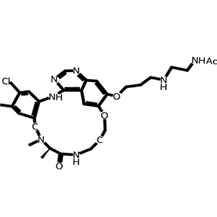 CC(=O)NCCNCCCOc1cc2ncnc3c2cc1OCCCNC(=O)[C@@H](C)N(C)Cc1cc(F)c(Cl)cc1N3